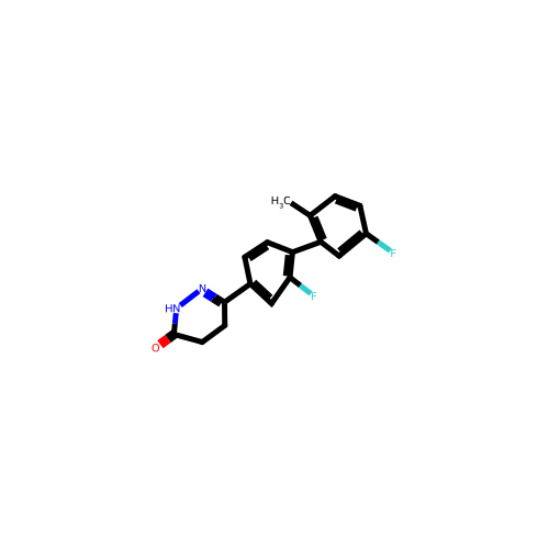 Cc1ccc(F)cc1-c1ccc(C2=NNC(=O)CC2)cc1F